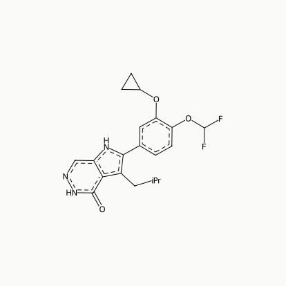 CC(C)Cc1c(-c2ccc(OC(F)F)c(OC3CC3)c2)[nH]c2cn[nH]c(=O)c12